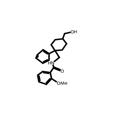 COc1ccccc1C(=O)NCC1(c2ccccc2)CCC(CO)CC1